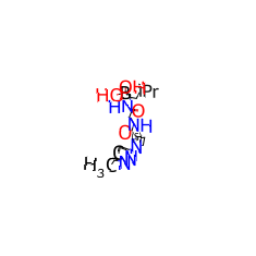 Cc1ccc(N2CC[C@H]2C(=O)NCC(=O)NC(CC(C)C)B(O)O)nn1